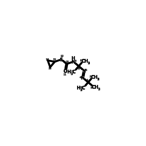 CC(C)(C)N=NC(C)(C)NC(=O)SC1CC1